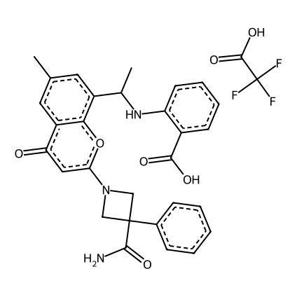 Cc1cc(C(C)Nc2ccccc2C(=O)O)c2oc(N3CC(C(N)=O)(c4ccccc4)C3)cc(=O)c2c1.O=C(O)C(F)(F)F